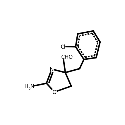 NC1=NC(C=O)(Cc2ccccc2Cl)CO1